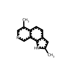 Cc1cc2ccc3c(C)cncc3c2[nH]1